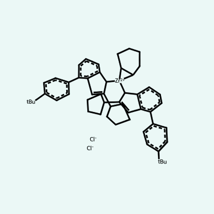 CC(C)(C)c1ccc(-c2cccc3c2C=C(C2CCCC2)[CH]3[Zr+2]2([CH]3C(C4CCCC4)=Cc4c(-c5ccc(C(C)(C)C)cc5)cccc43)[CH]3CCCC[CH]32)cc1.[Cl-].[Cl-]